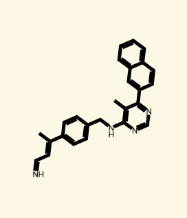 C/C(=C\C=N)c1ccc(CNc2ncnc(-c3ccc4ccccc4c3)c2C)cc1